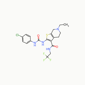 CCN1CCc2c(sc(NC(=O)Nc3ccc(Cl)cc3)c2C(=O)NCC(F)(F)F)C1